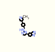 Cc1cc(-c2ccc(CNc3nccc(-c4ccc5ncncc5c4)n3)cc2)ccn1